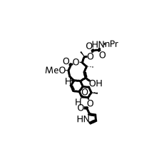 CCCNC(=O)C(=O)O[C@H](C)[C@H]1OC(=O)[C@@H](OC)C[C@H]2C=CC3C4[C@H](O)[C@@H](C)[C@@H](OC(=O)c5ccc[nH]5)[C@@H]3O[C@]42/C(C)=C/[C@H]1C